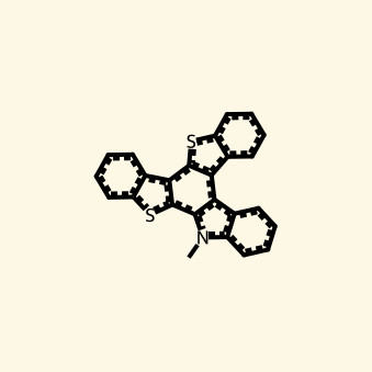 Cn1c2ccccc2c2c3c4ccccc4sc3c3c4ccccc4sc3c21